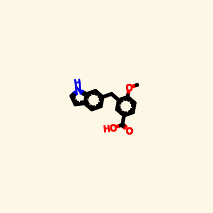 COc1ccc(C(=O)O)cc1Cc1ccc2cc[nH]c2c1